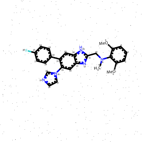 COc1cccc(OC)c1N(C)Cc1nc2cc(-n3ccnc3)c(-c3ccc(F)cc3)cc2[nH]1